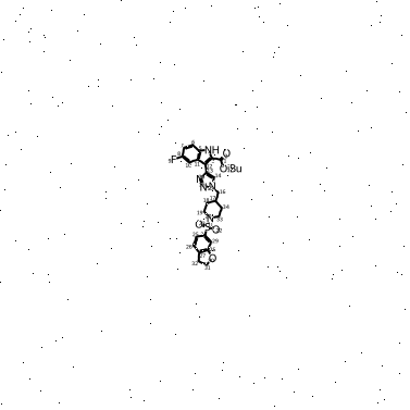 CC(C)COC(=O)c1[nH]c2ccc(F)cc2c1-c1cn(CC2CCN(S(=O)(=O)c3ccc4c(c3)OCC4)CC2)nn1